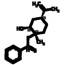 C=C(C)[C@@H]1CC[C@](C)(S[PH](=S)c2ccccc2)[C@@H](O)C1